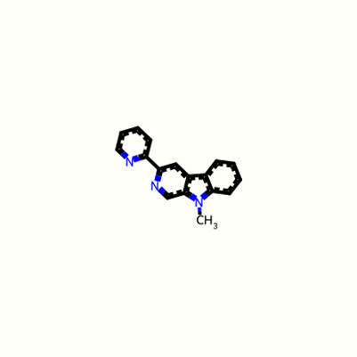 Cn1c2ccccc2c2cc(-c3ccccn3)ncc21